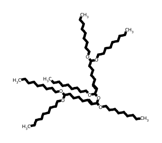 CCCCCCCCCOC(C=CCCCCC(OCCCCCCCCC)OCCCCCCCCC)OC(C=CCCCCC(OCCCCCCCCC)OCCCCCCCCC)OCCCCCCCCC